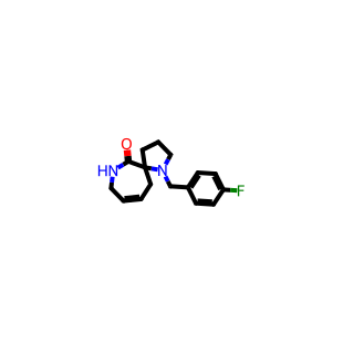 O=C1NCC=CCC12CCCN2Cc1ccc(F)cc1